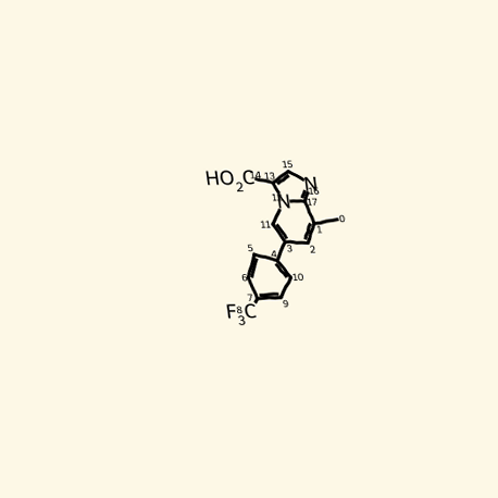 Cc1cc(-c2ccc(C(F)(F)F)cc2)cn2c(C(=O)O)cnc12